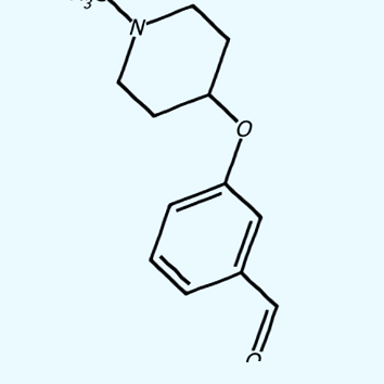 CN1CCC(Oc2cccc(C=O)c2)CC1